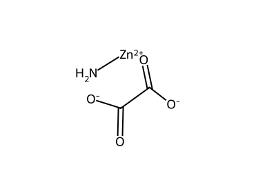 O=C([O-])C(=O)[O-].[NH2][Zn+2]